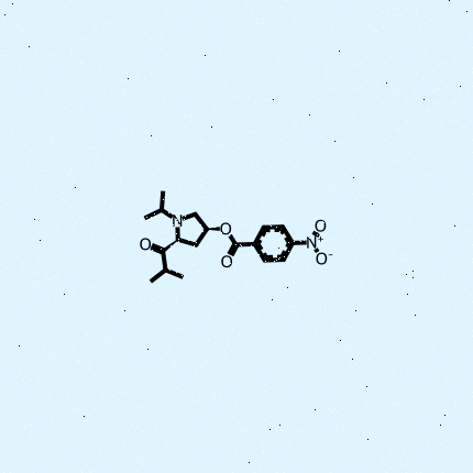 CC(C)C(=O)[C@@H]1C[C@H](OC(=O)c2ccc([N+](=O)[O-])cc2)CN1C(C)C